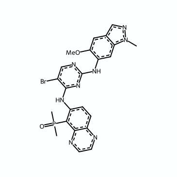 COc1cc2cnn(C)c2cc1Nc1ncc(Br)c(Nc2ccc3nccnc3c2P(C)(C)=O)n1